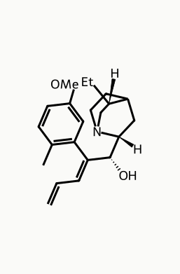 C=C/C=C(\c1cc(OC)ccc1C)[C@@H](O)[C@H]1CC2CCN1C[C@@H]2CC